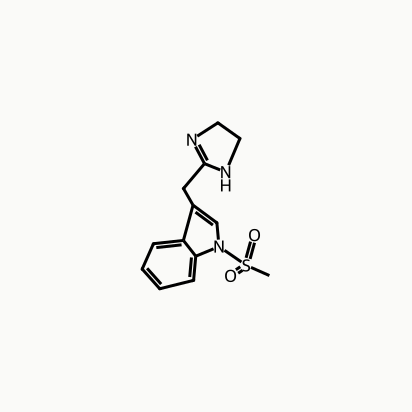 CS(=O)(=O)n1cc(CC2=NCCN2)c2ccccc21